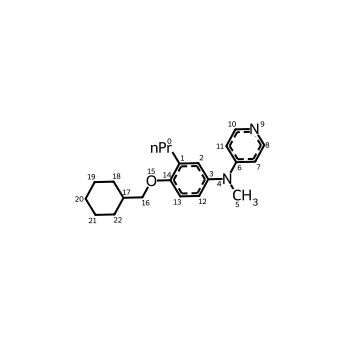 CCCc1cc(N(C)c2ccncc2)ccc1OCC1CCCCC1